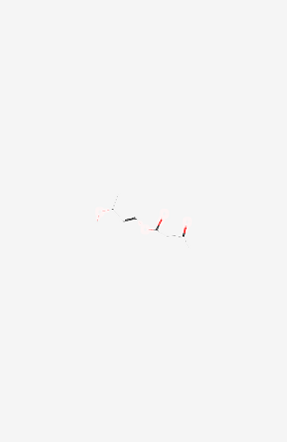 COC(C)C=COC(=O)CC(C)=O